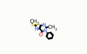 CSc1nc2c(=O)n(-c3ccccc3)c(C)nc2s1